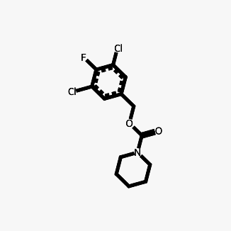 O=C(OCc1cc(Cl)c(F)c(Cl)c1)N1CCCCC1